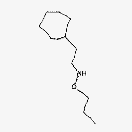 CCCONCCC1CCCCC1